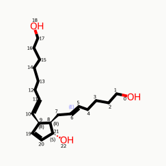 OCCCC/C=C/C[C@@H]1[C@H](C=CCCCCCCO)C=C[C@H]1O